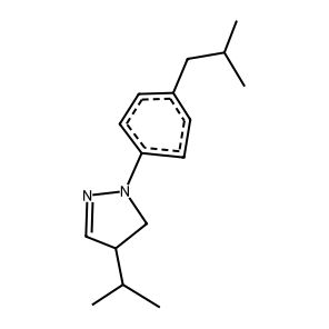 CC(C)Cc1ccc(N2CC(C(C)C)C=N2)cc1